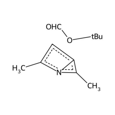 CC(C)(C)OC=O.Cc1cc2c(C)n1-2